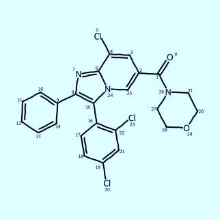 O=C(c1cc(Cl)c2nc(-c3ccccc3)c(-c3ccc(Cl)cc3Cl)n2c1)N1CCOCC1